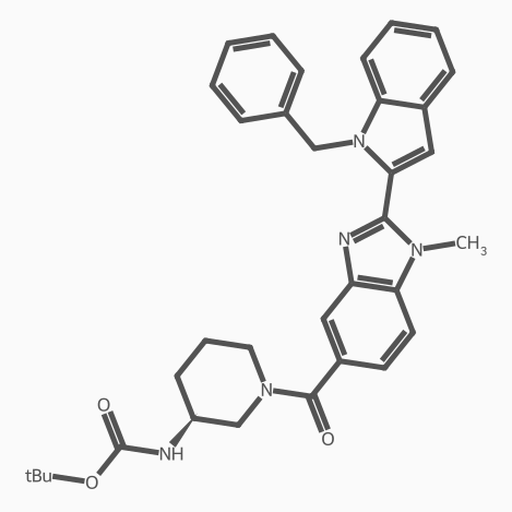 Cn1c(-c2cc3ccccc3n2Cc2ccccc2)nc2cc(C(=O)N3CCC[C@H](NC(=O)OC(C)(C)C)C3)ccc21